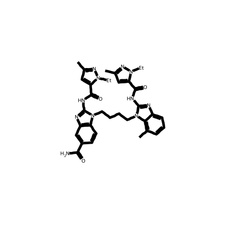 CCn1nc(C)cc1C(=O)Nc1nc2cc(C(N)=O)ccc2n1CCCCn1c(NC(=O)c2cc(C)nn2CC)nc2cccc(C)c21